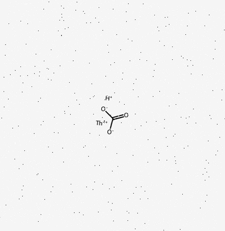 O=C([O-])[O-].[H+].[Th+4]